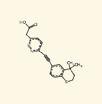 CC1(C)CCSc2ccc(C#Cc3ccc(CC(=O)O)nn3)cc21